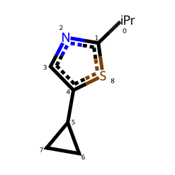 CC(C)c1ncc(C2CC2)s1